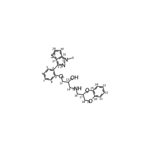 Cn1nc(-c2ccccc2OCC(O)CNCC2COc3ccccc3O2)c2sccc21